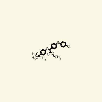 CCOC(=O)C(Oc1ccc(C(C)(C)C)cc1)c1ccc(Sc2ccc(Cl)cc2)cc1